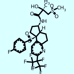 C[C@](O)(CS(C)(=O)=O)C(=O)N[C@@H]1CC[C@@]2(S(=O)(=O)c3ccc(F)cc3)c3ccc(C(F)(C(F)(F)F)C(F)(F)F)nc3CC[C@@H]12